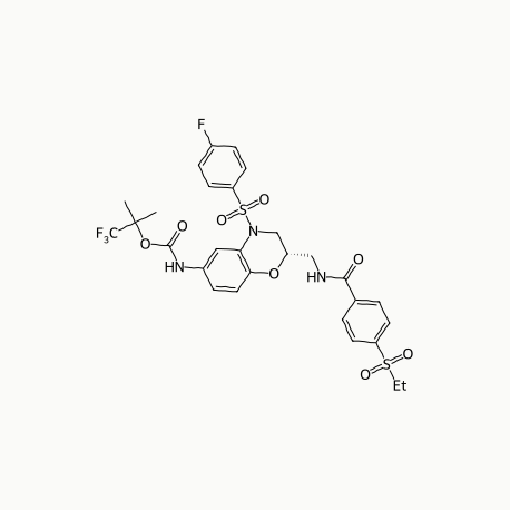 CCS(=O)(=O)c1ccc(C(=O)NC[C@H]2CN(S(=O)(=O)c3ccc(F)cc3)c3cc(NC(=O)OC(C)(C)C(F)(F)F)ccc3O2)cc1